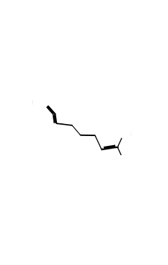 C=C=CCCCC=C(C)C